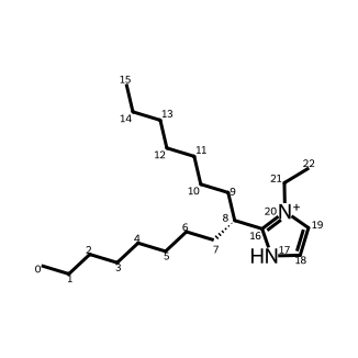 CCCCCCCC[C@H](CCCCCCC)c1[nH]cc[n+]1CC